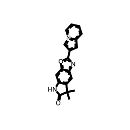 CC1(C)C(=O)Nc2cc3oc(-c4cc5ccccn5c4)nc3cc21